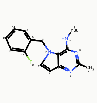 CCCCNc1nc(C)nc2ccn(Cc3ccccc3F)c12